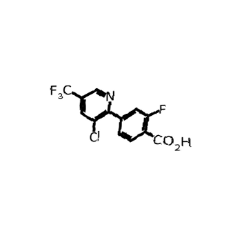 O=C(O)c1ccc(-c2ncc(C(F)(F)F)cc2Cl)cc1F